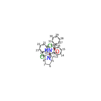 O=C(NC1CC2CCC(C1)N2C(c1ccccc1Cl)c1ccccc1Cl)c1ccccc1